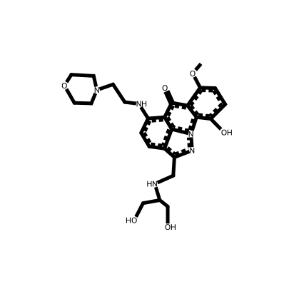 COc1ccc(O)c2c1c(=O)c1c(NCCN3CCOCC3)ccc3c(CNC(CO)CO)nn2c31